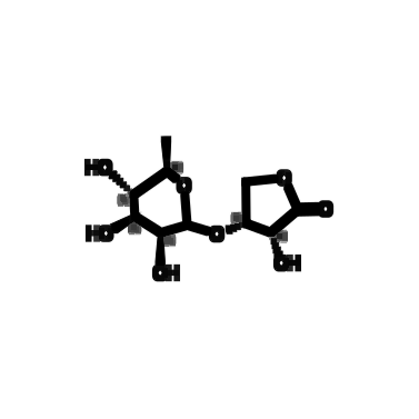 C[C@H]1OC(O[C@@H]2COC(=O)[C@@H]2O)[C@@H](O)[C@@H](O)[C@@H]1O